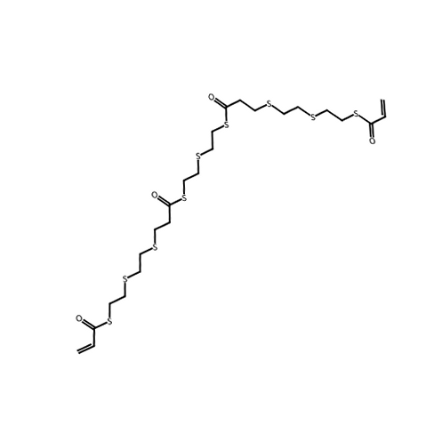 C=CC(=O)SCCSCCSCCC(=O)SCCSCCSC(=O)CCSCCSCCSC(=O)C=C